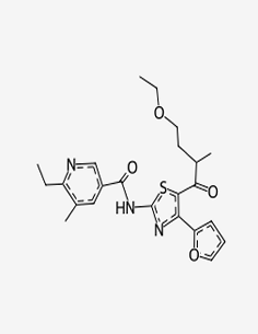 CCOCCC(C)C(=O)c1sc(NC(=O)c2cnc(CC)c(C)c2)nc1-c1ccco1